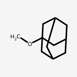 [CH2]OC12CC3CC(CC(C3)C1)C2